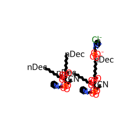 CCCCCCCCCCCCCCCCCC(=O)OCC(COP(=O)(OCCC#N)OCC[N+]12CCC(CC1)CC2)OC(=O)CCCCCCCCCCCCCCCCC.CCCCCCCCCCCCCCCCCC(=O)OCC(COP(=O)(OCCC#N)OCC[N+]12CCC(CC1)CC2)OC(=O)CCCCCCCCCCCCCCCCC.O=P([O-])([O-])OCC[N+]12CCC(CC1)CC2.[Cl-]